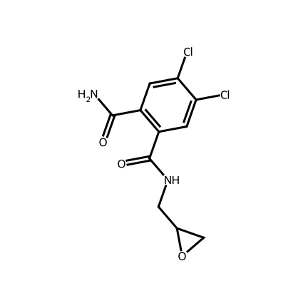 NC(=O)c1cc(Cl)c(Cl)cc1C(=O)NCC1CO1